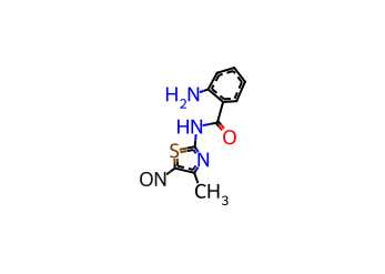 Cc1nc(NC(=O)c2ccccc2N)sc1N=O